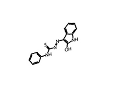 Oc1[nH]c2ccccc2c1N=NC(=S)Nc1ccccc1